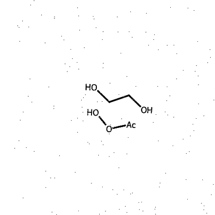 CC(=O)OO.OCCO